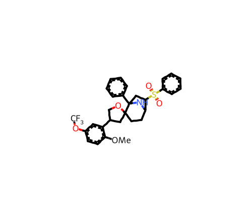 COc1ccc(OC(F)(F)F)cc1C1COC2(CCC3NC2(c2ccccc2)CC3S(=O)(=O)c2ccccc2)C1